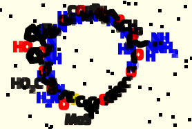 CCCC[C@@H]1NC(=O)[C@@H]2CCCN2C(=O)[C@H](C)NC(=O)[C@H](CCCNC(=N)N)NC(=O)/C=N/OCCCCCCOc2cc(CSC)cc(c2)CSC[C@@H](C(N)=O)NC(=O)[C@H](CCC(=O)O)NC(=O)[C@H](Cc2ccc(O)cc2)NC(=O)[C@H](Cc2c[nH]c3ccccc23)NC(=O)[C@H](C(C)C)NC(=O)[C@H](CC(=O)O)NC1=O